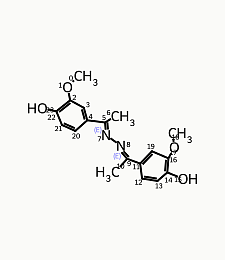 COc1cc(/C(C)=N/N=C(\C)c2ccc(O)c(OC)c2)ccc1O